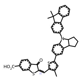 Cc1cc(-c2ccc3c(c2)C2CCCC2N3c2ccc3c(c2)-c2ccccc2C3(C)C)sc1/C=C1/Sc2cc(C(=O)O)ccc2C1=O